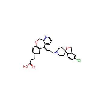 O=C(O)CCc1ccc2c(c1)/C(=C/CCN1CCC3(CC1)OCc1cc(Cl)ccc13)c1cccnc1CO2